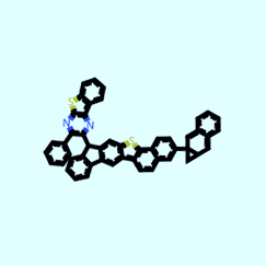 C1=c2ccccc2=CC2(c3ccc4c(ccc5c6cc7c(cc6sc45)C(c4nc5c(nc4-c4ccccc4)sc4ccccc45)c4ccccc4-7)c3)CC12